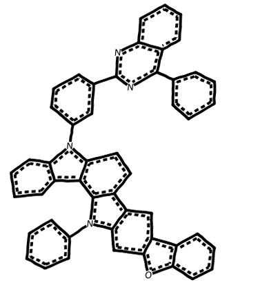 c1ccc(-c2nc(-c3cccc(-n4c5ccccc5c5c4ccc4c6cc7c(cc6n(-c6ccccc6)c45)oc4ccccc47)c3)nc3ccccc23)cc1